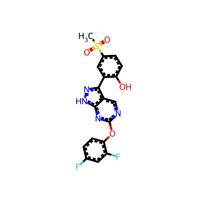 CS(=O)(=O)c1ccc(O)c(-c2n[nH]c3nc(Oc4ccc(F)cc4F)ncc23)c1